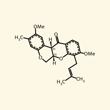 COc1cc2c(cc1C)OC[C@H]1Oc3c(ccc(OC)c3CC=C(C)C)C(=O)[C@@H]21